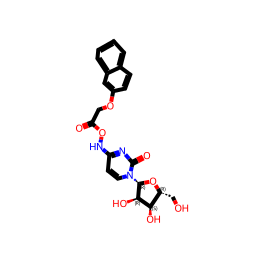 O=C(COc1ccc2ccccc2c1)ONc1ccn([C@@H]2O[C@H](CO)[C@@H](O)[C@H]2O)c(=O)n1